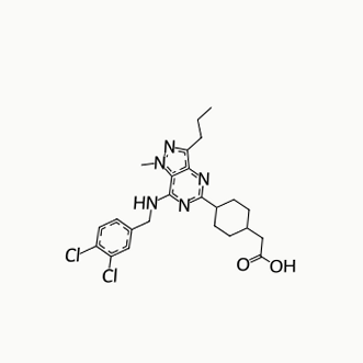 CCCc1nn(C)c2c(NCc3ccc(Cl)c(Cl)c3)nc(C3CCC(CC(=O)O)CC3)nc12